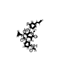 C=CCc1ccc(Nc2c3c(=O)n(C4CC4)c(=O)n(-c4cccc(NC(C)=O)c4)c3c(C)c(=O)n2C)c(F)c1